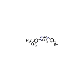 C=C(C)c1ccc(C(/C=C\C=N\C=C\c2ccc(OC(C)C)cc2)=C/C)cc1